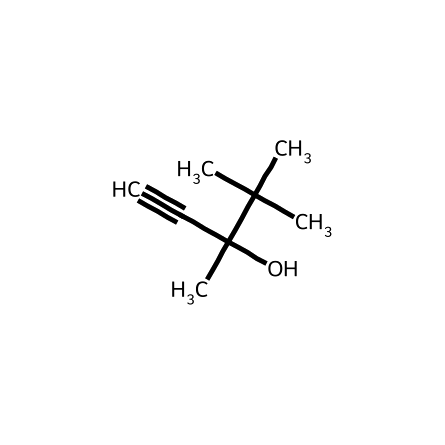 C#CC(C)(O)C(C)(C)C